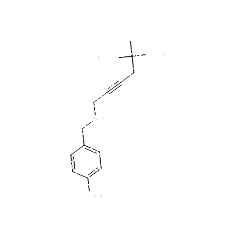 CCCCCCCCCc1ccc(CNCC#CCC(C)(C(=O)OCC)C(=O)OCC)cc1